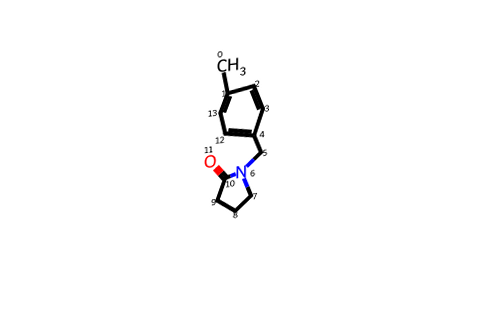 Cc1ccc(CN2CCCC2=O)cc1